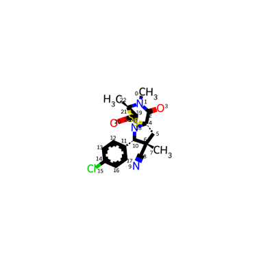 CN1C(=O)[C@@]23C[C@](C)(C#N)[C@H](c4ccc(Cl)cc4)N2C(=O)[C@]1(C)SS3